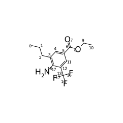 CCCc1cc(C(=O)OCC)cc(C(F)(F)F)c1N